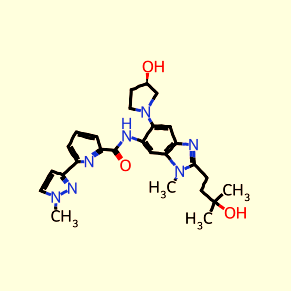 Cn1ccc(-c2cccc(C(=O)Nc3cc4c(cc3N3CC[C@@H](O)C3)nc(CCC(C)(C)O)n4C)n2)n1